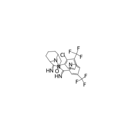 N=C(c1cc(C(F)(F)F)ccn1)N1CC2CCCC(C1=N)N2C(=O)c1cccc(C(F)(F)F)c1Cl